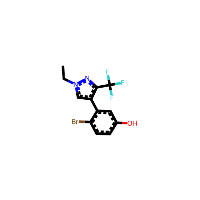 CCn1cc(-c2cc(O)ccc2Br)c(C(F)(F)F)n1